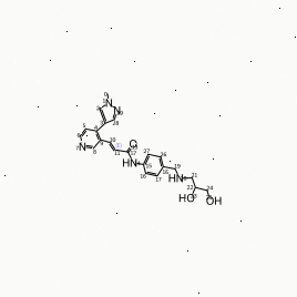 Cn1cc(-c2ccncc2/C=C/C(=O)Nc2ccc(CNCC(O)CO)cc2)cn1